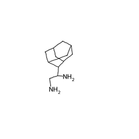 NCC(N)C1C2CC3CC(C2)CC1C3